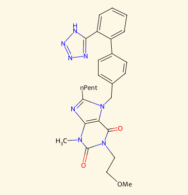 CCCCCc1nc2c(c(=O)n(CCOC)c(=O)n2C)n1Cc1ccc(-c2ccccc2-c2nnn[nH]2)cc1